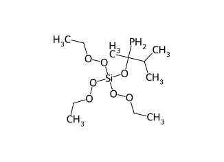 CCOO[Si](OOCC)(OOCC)OC(C)(P)C(C)C